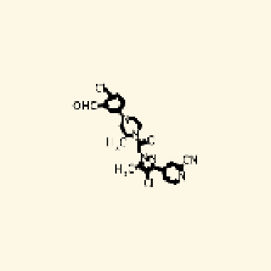 Cc1c(Cl)c(-c2ccnc(C#N)c2)nn1CC(=O)N1CCN(c2ccc(Cl)c(C=O)c2)C[C@@H]1C